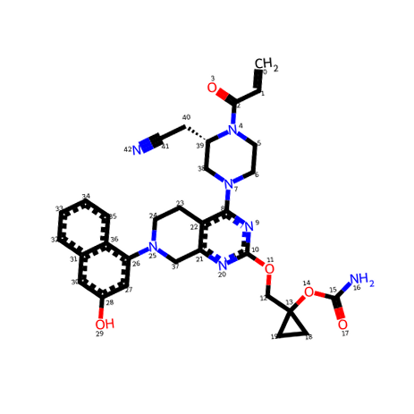 C=CC(=O)N1CCN(c2nc(OCC3(OC(N)=O)CC3)nc3c2CCN(c2cc(O)cc4ccccc24)C3)C[C@@H]1CC#N